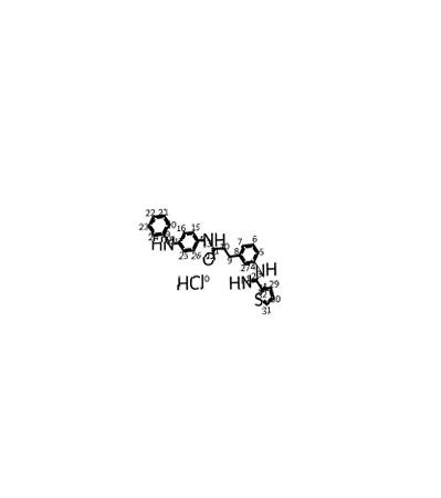 Cl.N=C(Nc1cccc(CCC(=O)Nc2ccc(Nc3ccccc3)cc2)c1)c1cccs1